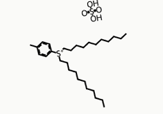 CCCCCCCCCCC[S+](CCCCCCCCCCC)c1ccc(C)cc1.O=S(=O)(O)O